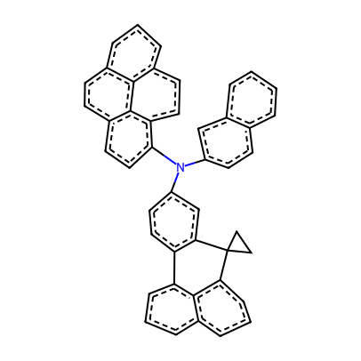 c1ccc2cc(N(c3ccc4c(c3)C3(CC3)c3cccc5cccc-4c35)c3ccc4ccc5cccc6ccc3c4c56)ccc2c1